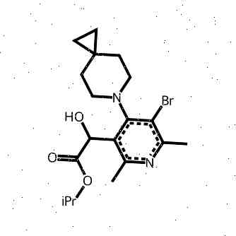 Cc1nc(C)c(C(O)C(=O)OC(C)C)c(N2CCC3(CC2)CC3)c1Br